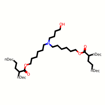 CCCCCCCCCCCCC(CCCCCCCCCC)C(=O)OCCCCCCN(CCCCO)CCCCCCOC(=O)C(CCCCCCCCCC)CCCCCCCCCCCC